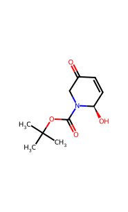 CC(C)(C)OC(=O)N1CC(=O)C=C[C@H]1O